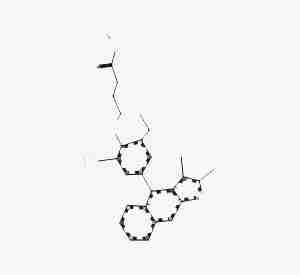 CCc1cc(-c2c3ccccc3cc3oc(C)c(C)c23)cc(Br)c1OCCCC(=O)OC